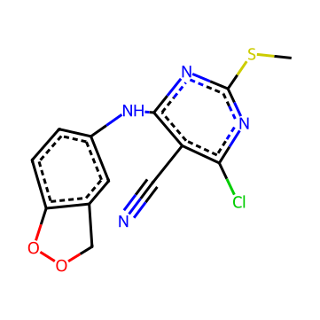 CSc1nc(Cl)c(C#N)c(Nc2ccc3c(c2)COO3)n1